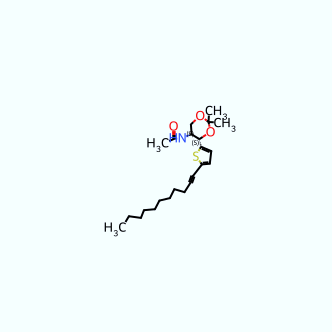 CCCCCCCCCC#Cc1ccc([C@H]2OC(C)(C)OC[C@@H]2NC(C)=O)s1